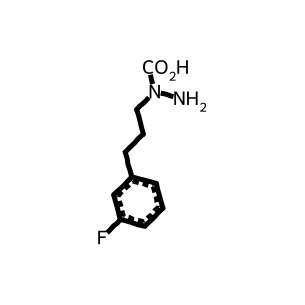 NN(CCCc1cccc(F)c1)C(=O)O